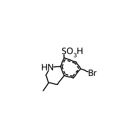 CC1CNc2c(cc(Br)cc2S(=O)(=O)O)C1